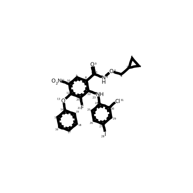 O=C(NOCC1CC1)c1cc([N+](=O)[O-])c(Oc2ccccc2)c(F)c1Nc1ccc(I)cc1Cl